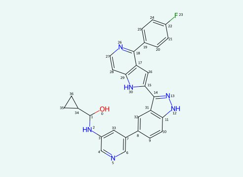 OC(Nc1cncc(-c2ccc3[nH]nc(-c4cc5c(-c6ccc(F)cc6)nccc5[nH]4)c3c2)c1)C1CC1